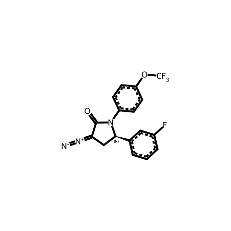 [N-]=[N+]=C1C[C@H](c2cccc(F)c2)N(c2ccc(OC(F)(F)F)cc2)C1=O